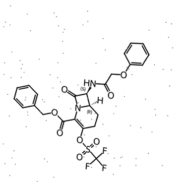 O=C(COc1ccccc1)N[C@@H]1C(=O)N2C(C(=O)OCc3ccccc3)=C(OS(=O)(=O)C(F)(F)F)CC[C@H]12